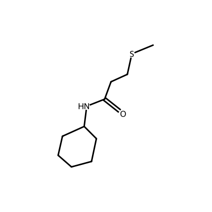 CSCCC(=O)NC1CCCCC1